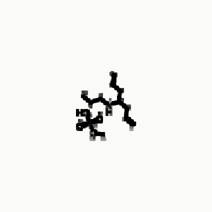 C=CCC(CC=C)NCCC.COS(=O)(=O)O